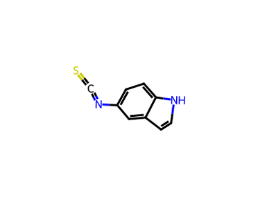 S=C=Nc1ccc2[nH]ccc2c1